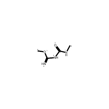 CNC(=O)NC(=N)OC